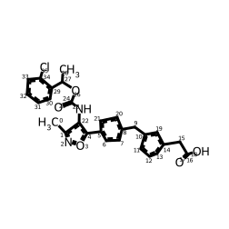 Cc1noc(-c2ccc(Cc3cccc(CC(=O)O)c3)cc2)c1NC(=O)OC(C)c1ccccc1Cl